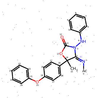 CC(=O)/N=C1/N(Nc2ccccc2)C(=O)OC1(C)c1ccc(Oc2ccccc2)cc1